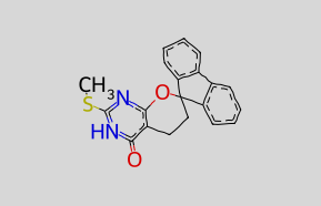 CSc1nc2c(c(=O)[nH]1)CCC1(O2)c2ccccc2-c2ccccc21